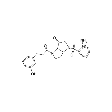 N[n+]1ccccc1S(=O)(=O)N1CC(=O)C2C1CCN2C(=O)[CH]Cc1cccc(O)c1